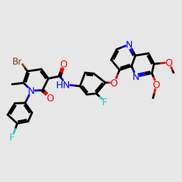 COc1cc2nccc(Oc3ccc(NC(=O)c4cc(Br)c(C)n(-c5ccc(F)cc5)c4=O)cc3F)c2nc1OC